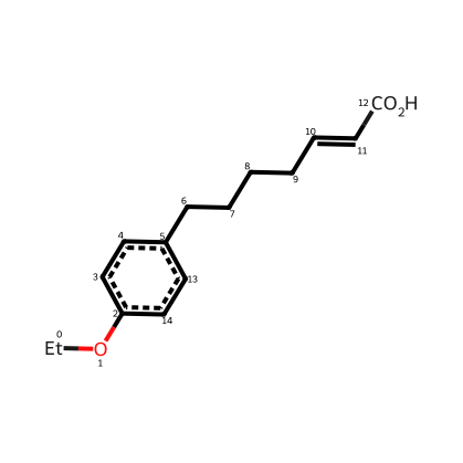 CCOc1ccc(CCCCC=CC(=O)O)cc1